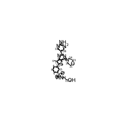 Cc1c(-c2cccc(S(=O)(=O)NCCO)c2)sc2c(N3CCOCC3)nc(-c3cnc(N)nc3)nc12